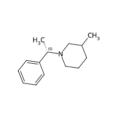 CC1CCCN([C@@H](C)c2ccccc2)C1